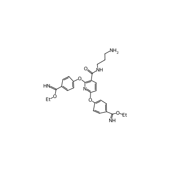 CCOC(=N)c1ccc(Oc2ccc(C(=O)NCCCN)c(Oc3ccc(C(=N)OCC)cc3)n2)cc1